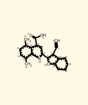 C#Cc1c(-c2cc(C(=O)O)c3c(C)ccc(C)c3n2)oc2ccccc12